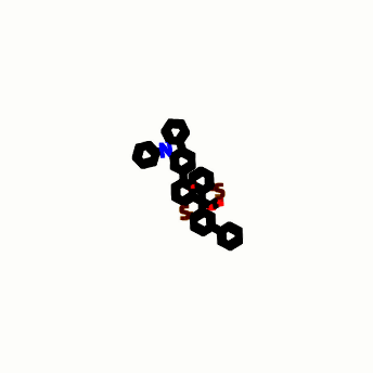 c1ccc(-c2ccc3c(c2)C2(c4ccccc4Sc4ccccc42)c2cc(-c4ccc5c6ccccc6n(-c6ccccc6)c5c4)ccc2S3)cc1